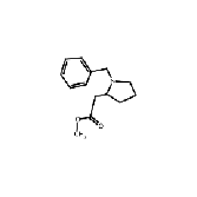 COC(=O)CC1CCCN1Cc1ccccc1